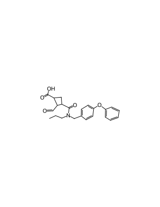 CCCN(Cc1ccc(Oc2ccccc2)cc1)C(=O)C1CC(C(=O)O)C1C=O